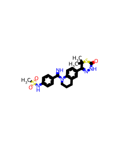 CC1(C)SC(=O)NN=C1c1ccc2c(c1)CCCN2C(=N)c1ccc(NS(C)(=O)=O)cc1